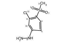 CS(=O)(=O)c1ccc(NN)cc1Cl